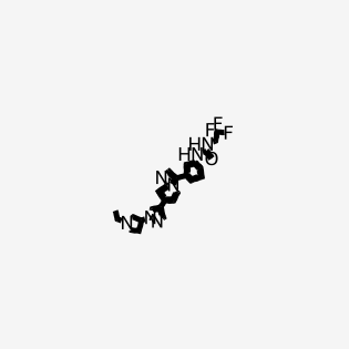 CCN1CCC(n2cc(-c3ccn4c(-c5cccc(NC(=O)NCC(F)(F)F)c5)cnc4c3)cn2)C1